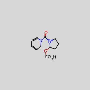 O=C(O)OC1CCCN1C(=O)N1C=CC=CC1